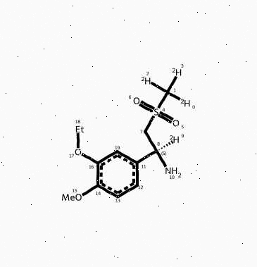 [2H]C([2H])([2H])S(=O)(=O)C[C@@]([2H])(N)c1ccc(OC)c(OCC)c1